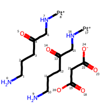 NCCCC(=O)C[NH][Pt+].NCCCC(=O)C[NH][Pt+].O=C([O-])CC(=O)[O-]